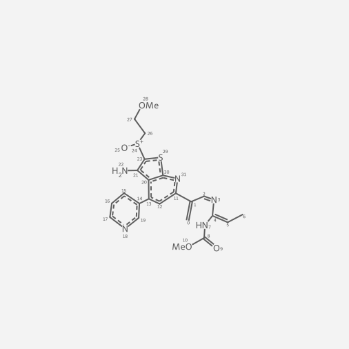 C=C(/C=N\C(=C/C)NC(=O)OC)c1cc(-c2cccnc2)c2c(N)c([S+]([O-])CCOC)sc2n1